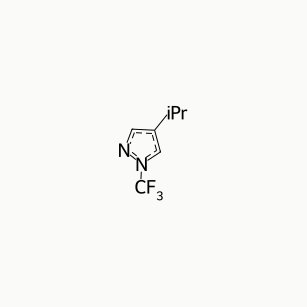 CC(C)c1cnn(C(F)(F)F)c1